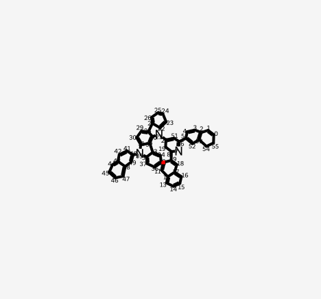 C1=Cc2ccc(C3=NC(c4ccc5ccccc5c4)CC(n4c5ccccc5c5ccc6c(c7ccccc7n6-c6ccc7ccccc7c6)c54)=C3)cc2CC1